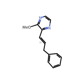 COc1nccnc1/C=C/Cc1ccccc1